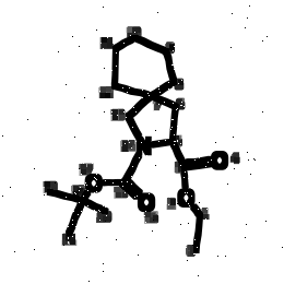 CCOC(=O)C1CC2(CCCCC2)CN1C(=O)OC(C)(C)C